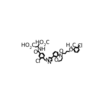 Cc1c(Cl)cccc1OCCCC(=O)N1CCCOc2c(-c3cnn(Cc4ccc(C(=O)NC(CC(=O)O)CC(=O)O)cc4Cl)c3)cccc21